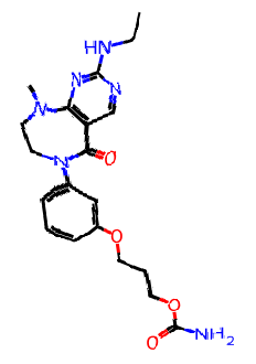 CCNc1ncc2c(n1)N(C)CCN(c1cccc(OCCCOC(N)=O)c1)C2=O